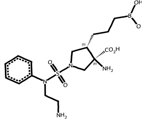 NCCN(c1ccccc1)S(=O)(=O)N1C[C@H](CCCB(O)O)[C@](N)(C(=O)O)C1